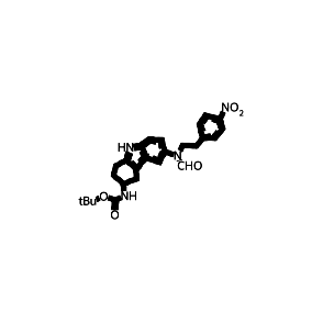 CC(C)(C)OC(=O)NC1CCc2[nH]c3ccc(N(C=O)CCc4ccc([N+](=O)[O-])cc4)cc3c2C1